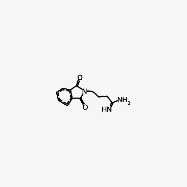 N=C(N)CCCN1C(=O)c2ccccc2C1=O